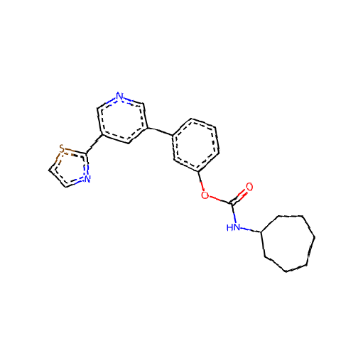 O=C(NC1CCCCCC1)Oc1cccc(-c2cncc(-c3nccs3)c2)c1